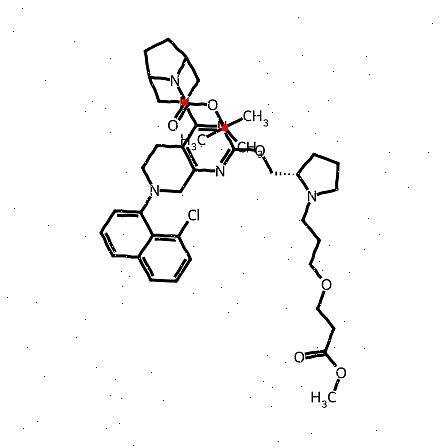 COC(=O)CCOCCCN1CCC[C@H]1COc1nc2c(c(N3CC4CCC(C3)N4C(=O)OC(C)(C)C)n1)CCN(c1cccc3cccc(Cl)c13)C2